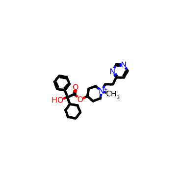 C[N+]1(CCc2ccncn2)CCC(OC(=O)C(O)(c2ccccc2)C2CCCCC2)CC1